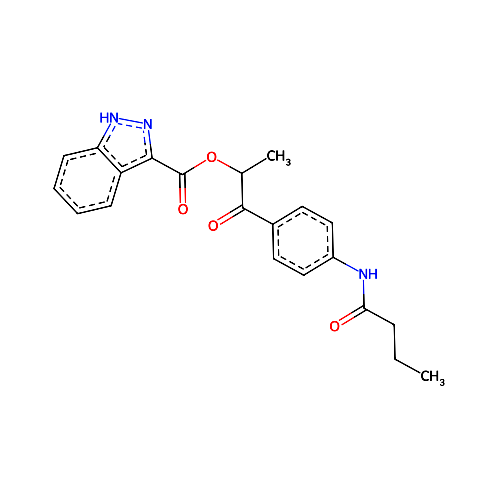 CCCC(=O)Nc1ccc(C(=O)C(C)OC(=O)c2n[nH]c3ccccc23)cc1